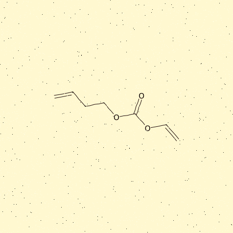 C=CCCOC(=O)OC=C